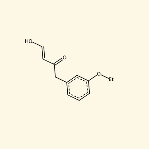 CCOc1cccc(CC(=O)C=CO)c1